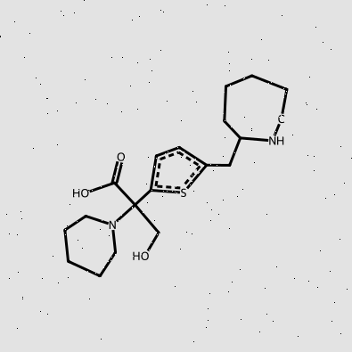 O=C(O)C(CO)(c1ccc(CC2CCCCCN2)s1)N1CCCCC1